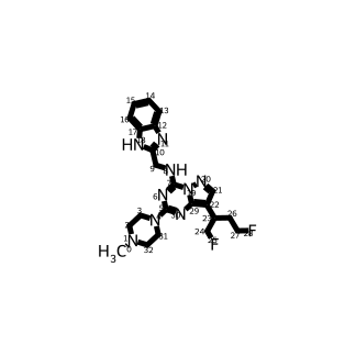 CN1CCN(c2nc(NCc3nc4ccccc4[nH]3)n3ncc(C(CF)CCF)c3n2)CC1